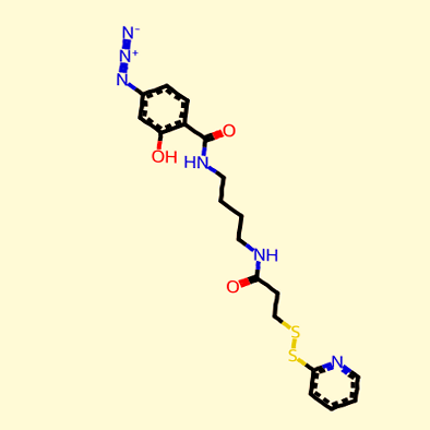 [N-]=[N+]=Nc1ccc(C(=O)NCCCCNC(=O)CCSSc2ccccn2)c(O)c1